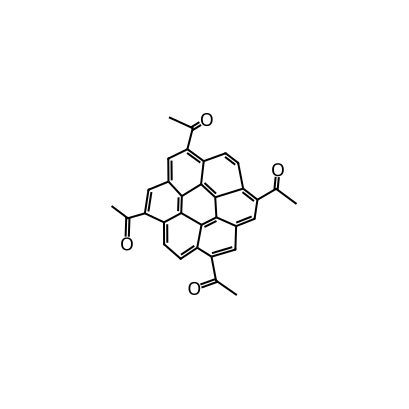 CC(=O)c1cc2cc(C(C)=O)c3ccc4c(C(C)=O)cc5cc(C(C)=O)c6ccc1c1c2c3c4c5c61